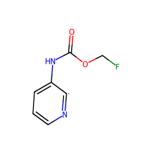 O=C(Nc1[c]nccc1)OCF